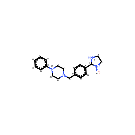 [O-][NH+]1CCNC1c1ccc(CN2CCN(c3ccccc3)CC2)cc1